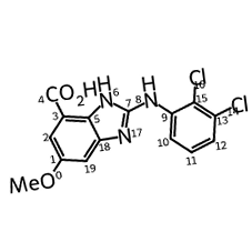 COc1cc(C(=O)O)c2[nH]c(Nc3cccc(Cl)c3Cl)nc2c1